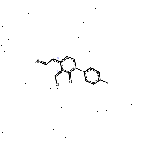 N=C/C=c1/ccn(-c2ccc(F)cc2)c(=O)/c1=C\Cl